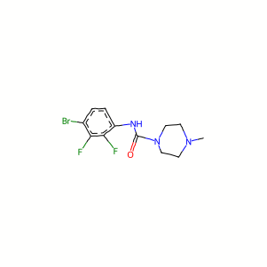 CN1CCN(C(=O)Nc2ccc(Br)c(F)c2F)CC1